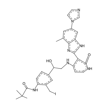 Cc1cc(-n2ccnc2)cc2[nH]c(-c3c(NCC(O)c4ccc(NC(=O)C(C)(C)C)c(CI)c4)cc[nH]c3=O)nc12